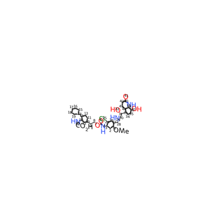 COc1cc(NC(=O)OCCc2ccc(-c3ccccc3)c(NC(=O)O)c2)c(Cl)cc1CNC[C@H](O)c1ccc(O)c2[nH]c(=O)ccc12